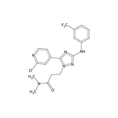 CN(C)C(=O)CCn1nc(Nc2cccc(C(F)(F)F)c2)nc1-c1ccnc(Cl)c1